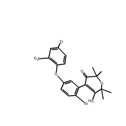 CCc1ccc(Oc2ccc(Cl)cc2[N+](=O)[O-])cc1C1=C(O)C(C)(C)OC(C)(C)C1=O